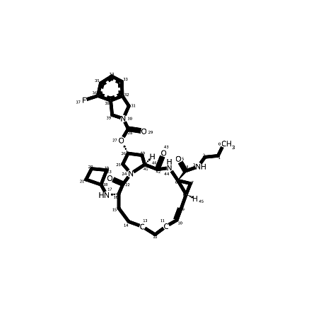 CCCNC(=O)[C@@]12C[C@H]1/C=C\CCCCC[C@H](NC1CCC1)C(=O)N1C[C@H](OC(=O)N3Cc4cccc(F)c4C3)C[C@H]1C(=O)N2